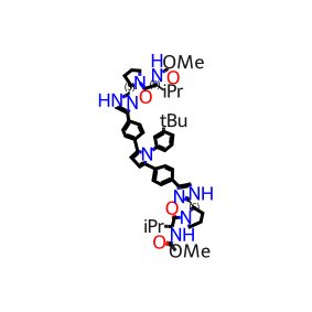 COC(=O)NC(C(=O)N1CCC[C@H]1c1nc(-c2ccc(-c3ccc(-c4ccc(-c5c[nH]c([C@@H]6CCCN6C(=O)[C@@H](NC(=O)OC)C(C)C)n5)cc4)n3-c3cccc(C(C)(C)C)c3)cc2)c[nH]1)C(C)C